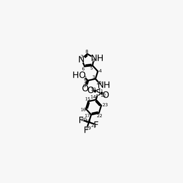 O=C(O)C(Cc1cnc[nH]1)NS(=O)(=O)c1ccc(C(F)(F)F)cc1